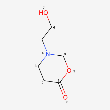 O=C1CCN(CCO)CO1